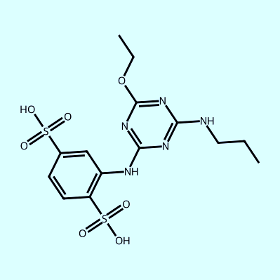 CCCNc1nc(Nc2cc(S(=O)(=O)O)ccc2S(=O)(=O)O)nc(OCC)n1